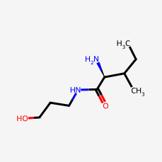 CCC(C)[C@H](N)C(=O)NCCCO